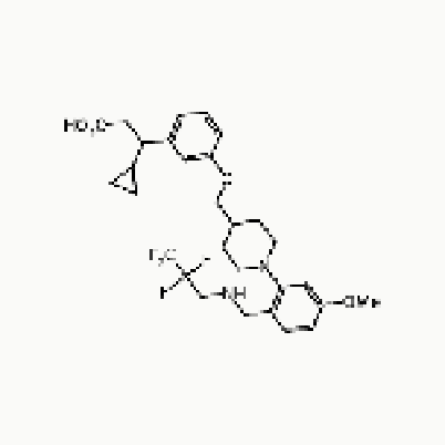 COc1ccc(CNCC(F)(F)C(F)(F)F)c(N2CCC(COc3cccc(C(CC(=O)O)C4CC4)c3)CC2)c1